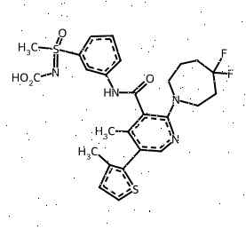 Cc1ccsc1-c1cnc(N2CCCC(F)(F)CC2)c(C(=O)Nc2cccc(S(C)(=O)=NC(=O)O)c2)c1C